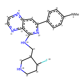 CNc1ccc(-c2cc3nccnc3c(NCC3CNCCC3F)n2)cc1